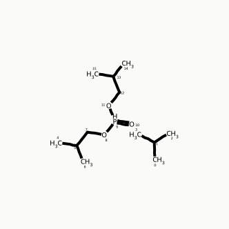 CC(C)C.CC(C)CO[PH](=O)OCC(C)C